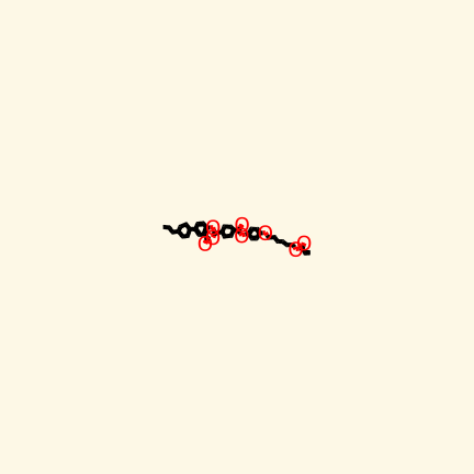 C=CC(=O)OCCCCCCOc1ccc(OC(=O)C2CCC(C(=O)Oc3ccc(C4CCC(CCC)CC4)cc3C=O)CC2)cc1